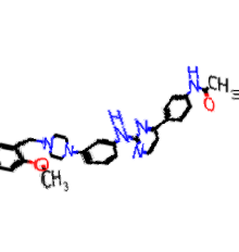 COc1ccccc1CN1CCN(c2cccc(Nc3nccc(-c4ccc(NC(C)=O)cc4)n3)c2)CC1